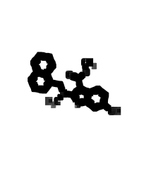 COC(=O)c1c(N(C)Cc2cccc3ccccc23)sc2cc(O)ccc12